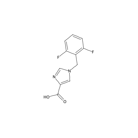 O=C(O)c1cn(Cc2c(F)cccc2F)cn1